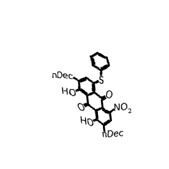 CCCCCCCCCCc1cc(Sc2ccccc2)c2c(c1O)C(=O)c1c(O)c(CCCCCCCCCC)cc([N+](=O)[O-])c1C2=O